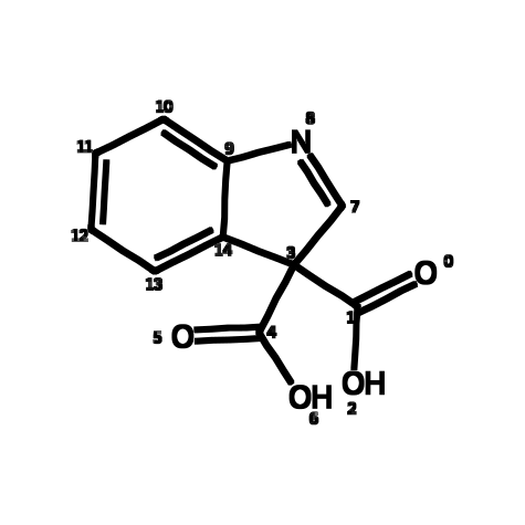 O=C(O)C1(C(=O)O)C=Nc2ccccc21